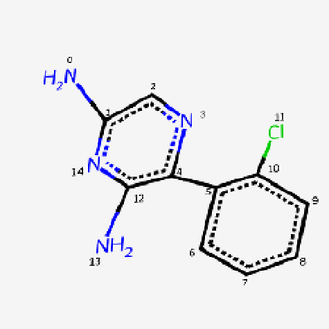 Nc1cnc(-c2ccccc2Cl)c(N)n1